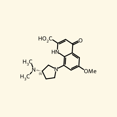 COc1cc(N2CC[C@H](N(C)C)C2)c2[nH]c(C(=O)O)cc(=O)c2c1